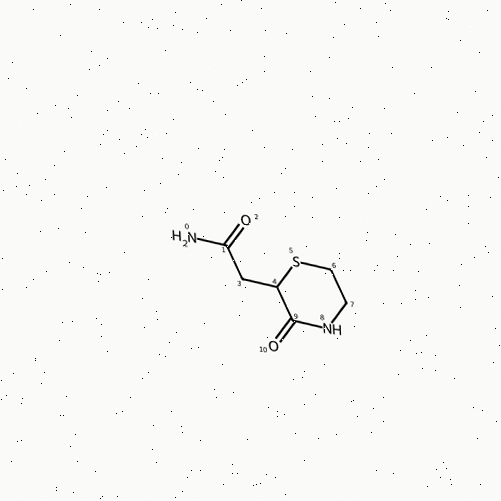 NC(=O)CC1SCCNC1=O